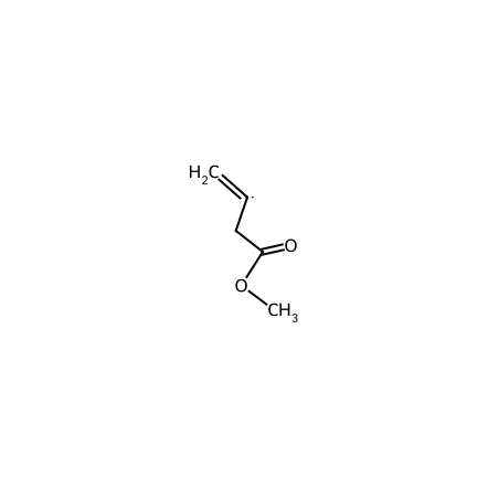 C=[C]CC(=O)OC